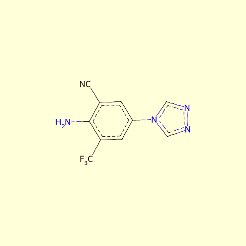 N#Cc1cc(-n2cnnc2)cc(C(F)(F)F)c1N